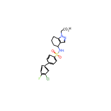 O=C(O)Cn1ncc2c1CCCC2NS(=O)(=O)c1ccc(-c2ccc(F)c(Cl)c2)cc1